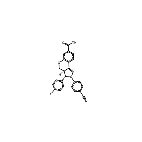 N#Cc1ccc(N2N=C3c4ccc(C(=O)O)cc4OC[C@@H]3[C@@H]2c2ccc(F)cc2)cc1